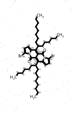 CCCCCCCCC(CCCCCC)c1c2c(=O)n3c(Br)ccc3c(C(CCCCCC)CCCCCCCC)c2c(=O)n2c(Br)ccc12